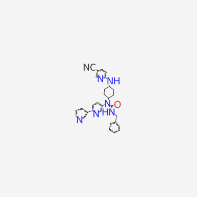 N#Cc1ccc(N[C@H]2CC[C@H](N(C(=O)NCc3ccccc3)c3ccc(-c4cccnc4)nc3)CC2)nc1